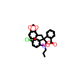 CCCN1C(=O)C(Cc2cccc3c2OCO3)(c2ccccc2C(=O)O)c2cc(Cl)ccc21